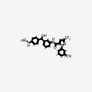 CCCCNc1ccc(C(O)c2cccc(NC(=O)c3cc(C(F)(F)F)nn3-c3cccc(C#N)c3)c2)cc1